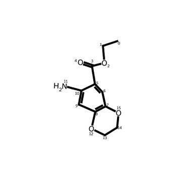 CCOC(=O)c1cc2c(cc1N)OCCO2